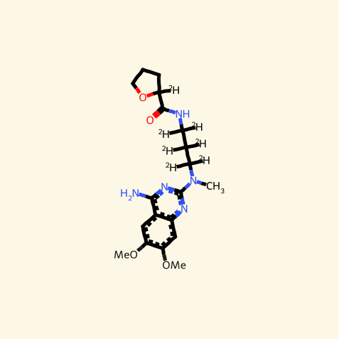 [2H]C1(C(=O)NC([2H])([2H])C([2H])([2H])C([2H])([2H])N(C)c2nc(N)c3cc(OC)c(OC)cc3n2)CCCO1